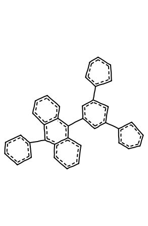 c1ccc(-c2cc(-c3ccccc3)cc(-c3c4ccccc4c(-c4ccccc4)c4ccccc34)c2)cc1